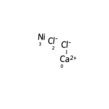 [Ca+2].[Cl-].[Cl-].[Ni]